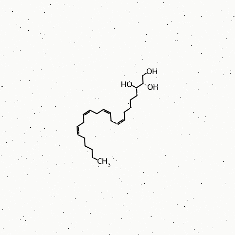 CCCCC/C=C\C/C=C\C/C=C\C/C=C\CCCCC(O)[C@@H](O)CO